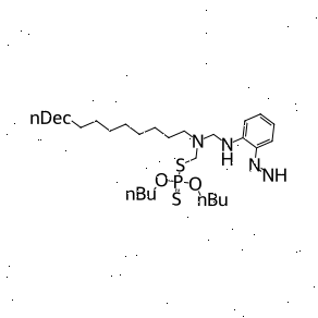 CCCCCCCCCCCCCCCCCCN(CNc1ccccc1N=N)CSP(=S)(OCCCC)OCCCC